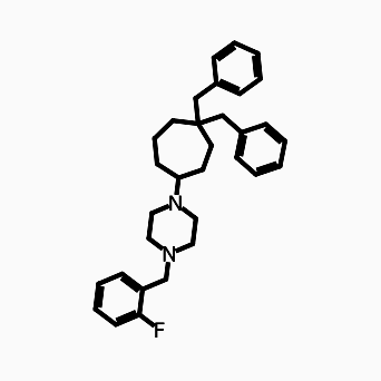 Fc1ccccc1CN1CCN(C2CCCC(Cc3ccccc3)(Cc3ccccc3)CC2)CC1